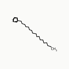 CCCCCCCCCCCCCCCCCCc1c[c][c]cc1